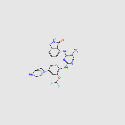 O=C1NCc2cccc(Nc3nc(Nc4ccc(N5CC6CC5CN6)cc4OC(F)F)ncc3C(F)(F)F)c21